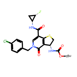 CC(C)(C)OC(=O)N[C@H]1CSc2c(C(=O)N[C@@H]3C[C@@H]3F)cn(Cc3ccc(Cl)cc3)c(=O)c21